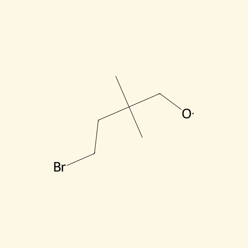 CC(C)(C[O])CCBr